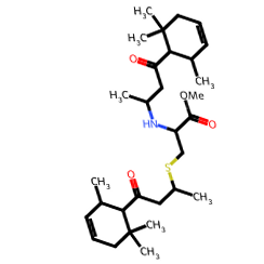 COC(=O)C(CSC(C)CC(=O)C1C(C)C=CCC1(C)C)NC(C)CC(=O)C1C(C)C=CCC1(C)C